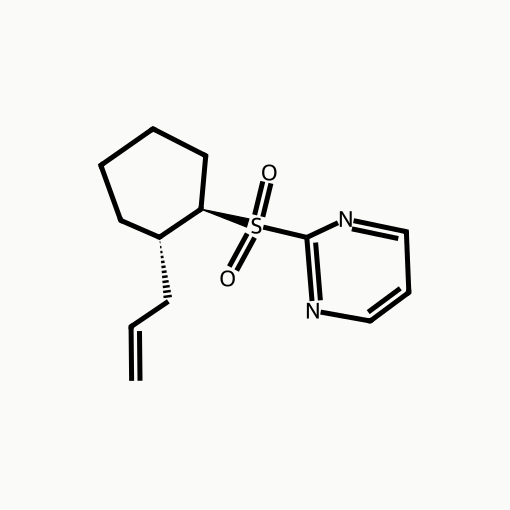 C=CC[C@@H]1CCCC[C@H]1S(=O)(=O)c1ncccn1